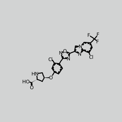 O=C(O)[C@H]1C[C@H](Oc2ccc(-c3noc(-c4cn5cc(C(F)(F)F)cc(Cl)c5n4)n3)c(Cl)c2)CN1